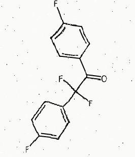 O=C(c1ccc(F)cc1)C(F)(F)c1ccc(F)cc1